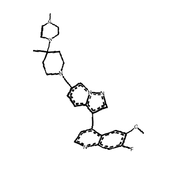 COc1cc2c(-c3cnn4cc(N5CCC(C)(N6CCN(C)CC6)CC5)ccc34)ccnc2cc1F